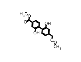 COOCc1ccc(-c2ccc(C(=O)OC)cc2O)c(O)c1